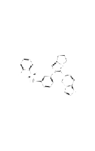 O=S(=O)(Nc1cccc(N2C=C3CCCN3C2N2C=Cc3nccn3C2)c1)c1ccccc1F